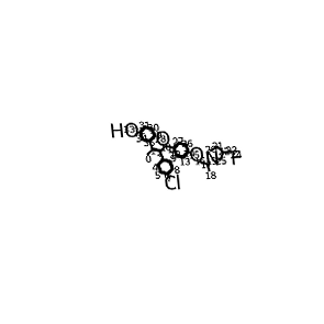 CC1=C(c2ccc(Cl)cc2)C(c2ccc(OCC(C)N3CCC(CF)C3)cc2)Oc2ccc(O)cc21